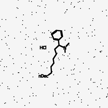 CCCCCCCCCCCCCCCCC(c1ccccc1)N(C)C.Cl